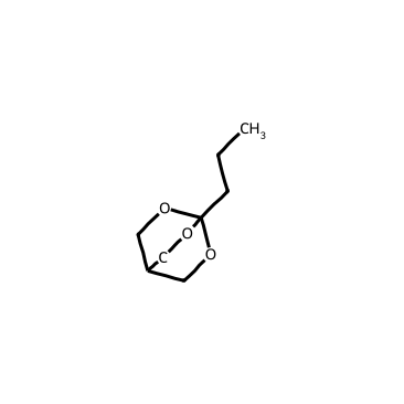 CCCC12OCC(CO1)CO2